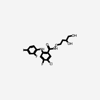 O=C(NOCCC(O)CO)c1cc(Cl)c(F)cc1Nc1ccc(I)cc1F